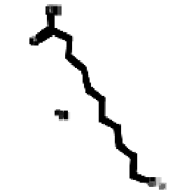 CCCCCCCCCCCC(=O)O.[6Ni]